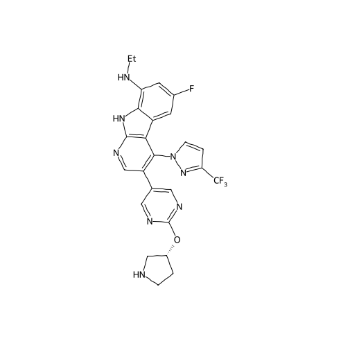 CCNc1cc(F)cc2c1[nH]c1ncc(-c3cnc(O[C@@H]4CCNC4)nc3)c(-n3ccc(C(F)(F)F)n3)c12